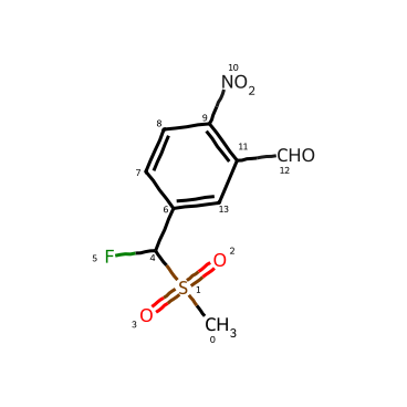 CS(=O)(=O)C(F)c1ccc([N+](=O)[O-])c(C=O)c1